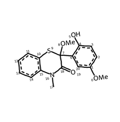 COc1ccc(O)c(C2(OC)Sc3ccccc3N(C)C2=O)c1